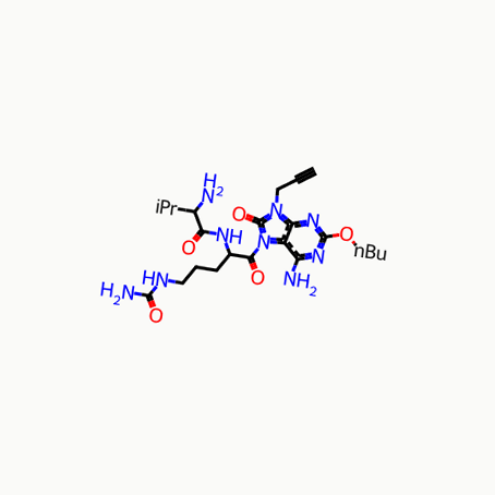 C#CCn1c(=O)n(C(=O)C(CCCNC(N)=O)NC(=O)C(N)C(C)C)c2c(N)nc(OCCCC)nc21